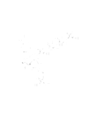 COc1ccc(I(=O)(OP(=O)(O)F)c2ccc(OC)cc2)cc1.O=P(O)(O)F.O=P(O)(O)F.O=P(O)(O)F.O=P(O)(O)F.O=P(O)(O)F